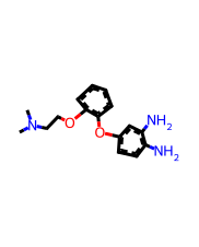 CN(C)CCOc1ccccc1Oc1ccc(N)c(N)c1